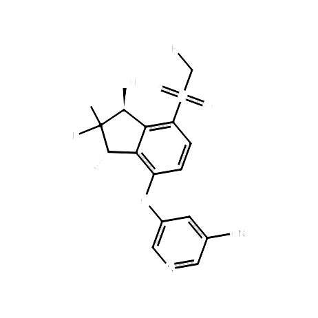 N#Cc1cncc(Oc2ccc(S(=O)(=O)CF)c3c2[C@H](F)C(F)(F)[C@H]3O)c1